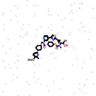 COc1ccc([C@H]2CC[C@H](CN(c3cc(-c4coc(C5CC5)n4)ccn3)C(=O)[C@H]3CC[C@H](OC(=O)N(C)CC(O)C(C)C)CC3)CC2)nc1C